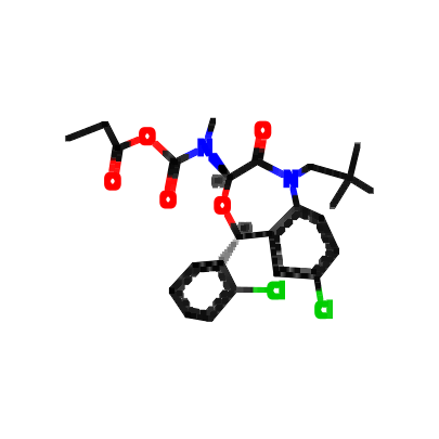 CCC(=O)OC(=O)N(C)[C@@H]1O[C@@H](c2ccccc2Cl)c2cc(Cl)ccc2N(CC(C)(C)C)C1=O